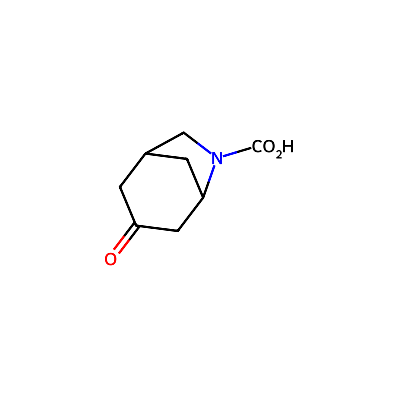 O=C1CC2CC(C1)N(C(=O)O)C2